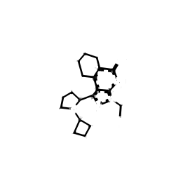 CCn1nc(C2CCCN2C2CCC2)c2c3c(c(=O)[nH]c21)CCCC3